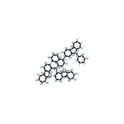 c1ccc(-n2c3ccccc3c3ccc(-c4ccc(N(c5cccc6c5oc5ccccc56)c5cccc6c5oc5ccccc56)c5ccccc45)cc32)cc1